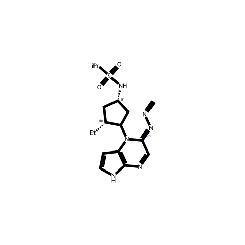 C=N/N=c1/cnc2[nH]ccc2n1C1C[C@@H](NS(=O)(=O)C(C)C)C[C@H]1CC